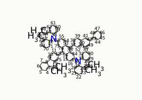 CC1(C)c2ccccc2-c2ccc(-c3c4ccc(N5c6ccccc6C(C)(C)c6ccccc65)cc4c(-c4ccc5cc(-c6ccccc6)ccc5c4)c4ccc(N5c6ccccc6C(C)(C)c6ccccc65)cc34)cc21